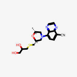 C[C@@H]1CN(c2ccc(C#N)c3nccnc23)C[C@H](CSCC(O)CO)O1